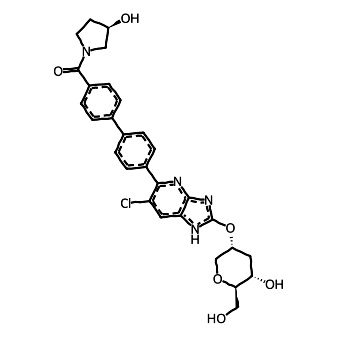 O=C(c1ccc(-c2ccc(-c3nc4nc(O[C@H]5CO[C@H](CO)[C@@H](O)C5)[nH]c4cc3Cl)cc2)cc1)N1CC[C@@H](O)C1